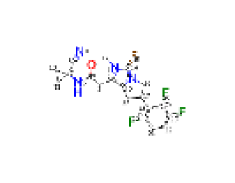 Cn1c(CC(=O)NC2(C#N)CC2)c2n(c1=S)CC(c1c(F)ccc(F)c1F)C2